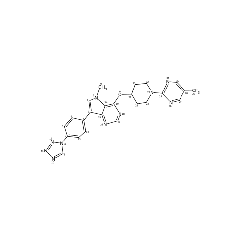 Cn1cc(-c2ccc(-n3cnnn3)cc2)c2ncnc(OC3CCN(c4ncc(C(F)(F)F)cn4)CC3)c21